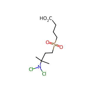 CC(C)(CCS(=O)(=O)CCCC(=O)O)N(Cl)Cl